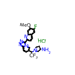 COc1cc2nc(-c3nnc4ccc([C@H](N5CC[C@H](N)C5)C(F)(F)F)cn34)ccc2cc1F.Cl